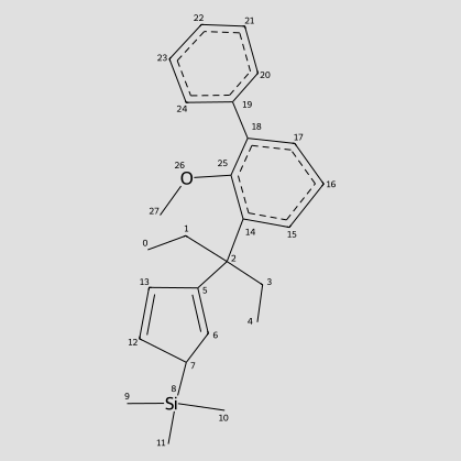 CCC(CC)(C1=CC([Si](C)(C)C)C=C1)c1cccc(-c2ccccc2)c1OC